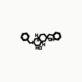 Cl.OC1(Cc2ccccc2)CC[C@H]2CN(Cc3ccccc3)CC[C@H]2C1